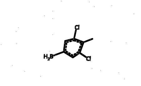 Bc1cc(Cl)c(C)c(Cl)c1